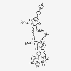 COc1cc2c(cc1OCCCOc1cc3c(cc1OC)C(=O)N1C=C(c4ccc(N5CCN(C)CC5)cc4)C[C@H]1C(=O)N3COCC[Si](C)(C)C)N(COCC[Si](C)(C)C)C(=O)[C@@H]1CC(C=CCNC(=O)[C@H](C)NC(=O)[C@H](C(C)C)N(CC3c4ccccc4-c4ccccc43)C(=O)O)=CN1C2=O